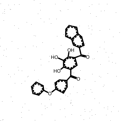 O=C(c1ccc(Oc2ccccc2)cc1)c1cc(C(=O)c2ccc3ccccc3c2)c(O)c(O)c1O